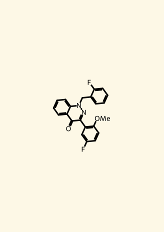 COc1ccc(F)cc1-c1nn(Cc2ccccc2F)c2ccccc2c1=O